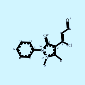 Cc1c(C(Cl)=CC=O)c(=O)n(-c2ccccc2)n1C